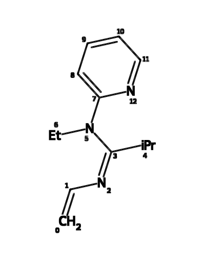 C=C/N=C(/C(C)C)N(CC)c1ccccn1